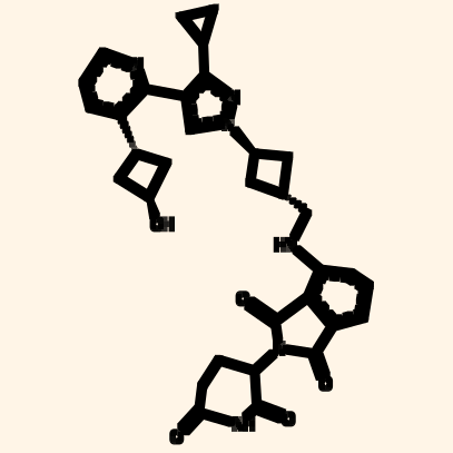 O=C1CCC(N2C(=O)c3cccc(NC[C@H]4C[C@H](n5cc(-c6ncccc6[C@H]6C[C@H](O)C6)c(C6CC6)n5)C4)c3C2=O)C(=O)N1